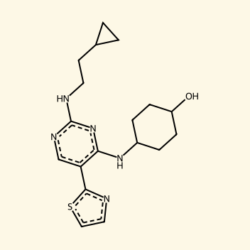 OC1CCC(Nc2nc(NCCC3CC3)ncc2-c2nccs2)CC1